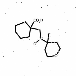 CC1([S+]([O-])CC2(C(=O)O)CCCCC2)CCOCC1